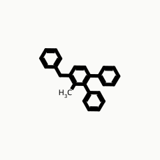 Cc1c(Cc2ccccc2)ccc(-c2ccccc2)c1-c1ccccc1